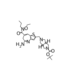 CCCN(OCC)C(=O)C1=Cc2sc(CN3C[C@H]4CN(C(=O)OC(C)(C)C)C[C@@H]4C3)cc2N=C(N)C1